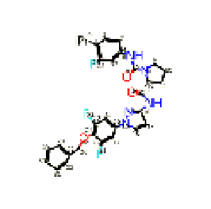 CC(C)c1ccc(NC(=O)N2CCC[C@@H]2C(=O)Nc2ccn(-c3cc(F)c(OCc4ccccc4)c(F)c3)n2)cc1F